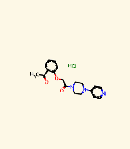 CC(=O)c1ccccc1OCC(=O)N1CCN(c2ccncc2)CC1.Cl